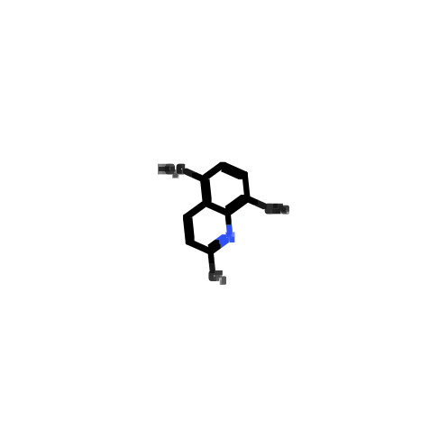 COc1ccc(C(=O)O)c2ccc(C(F)(F)F)nc12